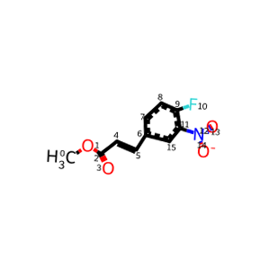 COC(=O)C=Cc1ccc(F)c([N+](=O)[O-])c1